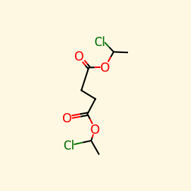 CC(Cl)OC(=O)CCC(=O)OC(C)Cl